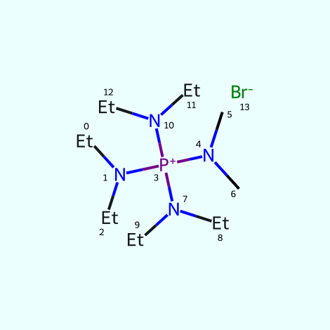 CCN(CC)[P+](N(C)C)(N(CC)CC)N(CC)CC.[Br-]